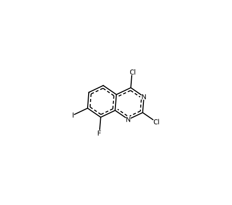 Fc1c(I)ccc2c(Cl)nc(Cl)nc12